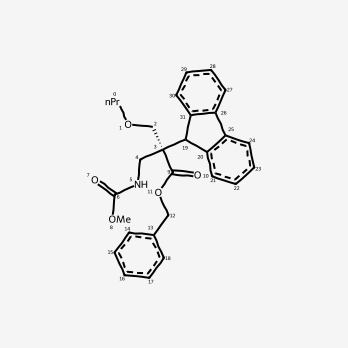 CCCOC[C@@](CNC(=O)OC)(C(=O)OCc1ccccc1)C1c2ccccc2-c2ccccc21